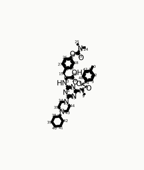 Cc1ccc(S(=O)(=O)N(C)c2nc(N[C@@H](Cc3ccc(OC(=O)N(C)C)cc3)C(=O)O)nc(N3CCN(C4CCCCC4)CC3)n2)cc1